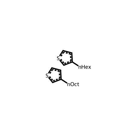 CCCCCCCCc1ccsc1.CCCCCCc1ccsc1